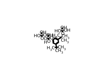 CC(C)(C)c1cccc(C(C)(C)C)c1.O=P(O)(O)O.O=P(O)(O)O.O=P(O)(O)O